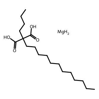 CCCCCCCCCCCCC(CCCC)(C(=O)O)C(=O)O.[MgH2]